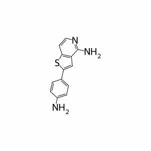 Nc1ccc(-c2cc3c(N)nccc3s2)cc1